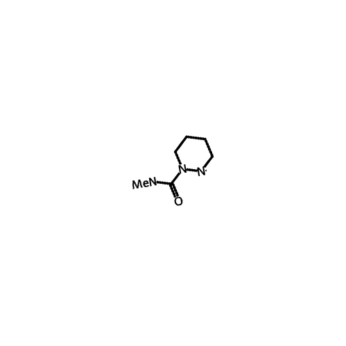 CNC(=O)N1CCCC[N]1